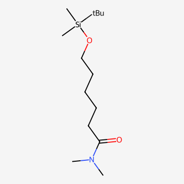 CN(C)C(=O)CCCCCO[Si](C)(C)C(C)(C)C